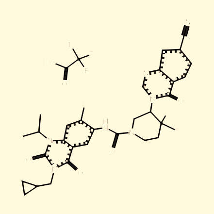 CC(C)n1c(=O)n(CC2CC2)c(=O)c2cc(NC(=O)N3CCC(F)(F)C(n4cnc5cc(C#N)ccc5c4=O)C3)c(F)cc21.O=C(O)C(F)(F)F